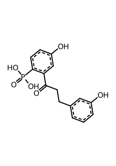 O=C(CCc1cccc(O)c1)c1cc(O)ccc1P(=O)(O)O